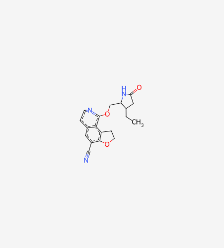 CCC1CC(=O)NC1COc1nccc2cc(C#N)c3c(c12)CCO3